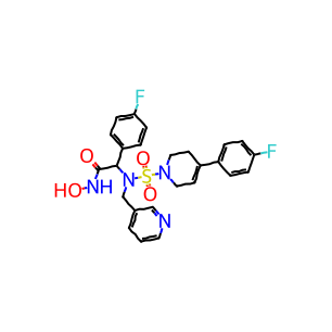 O=C(NO)C(c1ccc(F)cc1)N(Cc1cccnc1)S(=O)(=O)N1CC=C(c2ccc(F)cc2)CC1